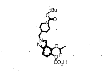 CC(C)(C)OC(=O)N1CCC(Cn2cc3c(OC(F)F)c(OC(=O)O)ccc3n2)CC1